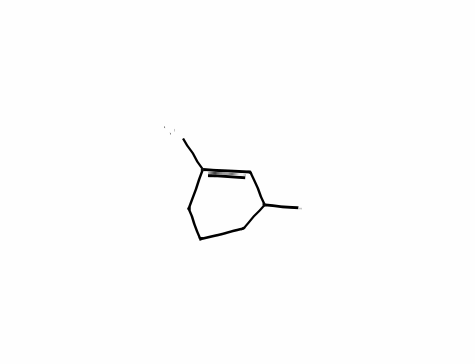 N#CC1=CC(Cl)CCC1